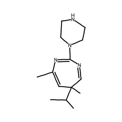 CC1=CC(C)(C(C)C)C=NC(N2CCNCC2)=N1